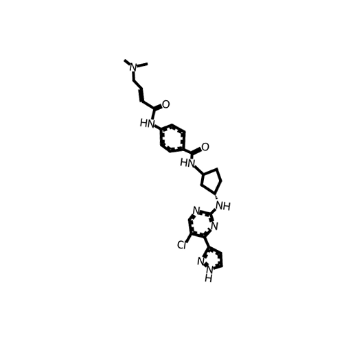 CN(C)C/C=C/C(=O)Nc1ccc(C(=O)NC2CC[C@H](Nc3ncc(Cl)c(-c4cc[nH]n4)n3)C2)cc1